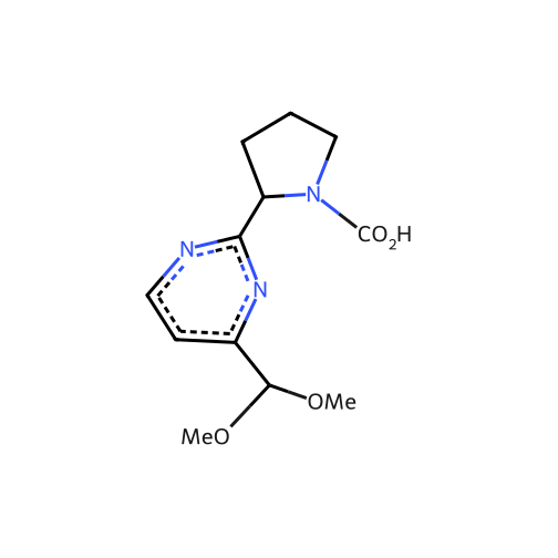 COC(OC)c1ccnc(C2CCCN2C(=O)O)n1